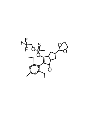 CCc1cc(C)cc(CC)c1C1=C(OP(C)(=S)OCC(F)(F)F)C2CC(C3OCCO3)CC2C1=O